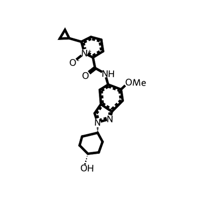 COc1cc2nn([C@H]3CC[C@@H](O)CC3)cc2cc1NC(=O)c1cccc(C2CC2)[n+]1[O-]